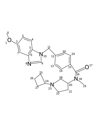 COc1ccc2c(c1)ncn2Cc1ccc(C(=O)N(C)C2CCN(C3CCC3)C2)cc1